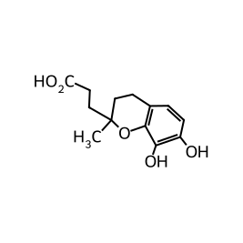 CC1(CCC(=O)O)CCc2ccc(O)c(O)c2O1